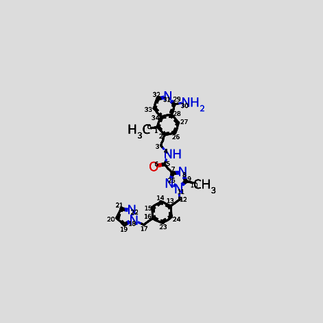 Cc1c(CNC(=O)c2nc(C)n(Cc3ccc(Cn4cccn4)cc3)n2)ccc2c(N)nccc12